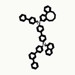 c1ccc(-c2ccc(N(c3ccc(-c4ccc(N(c5ccc(-c6cccc(-c7ccccc7)c6)cc5)c5cccc6ccccc56)cc4)cc3)c3ccc4c(c3)CCCCCc3ccccc3-4)cc2)cc1